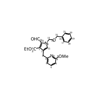 CCOC(=O)c1c(Cc2cccc(OC)n2)cn(COCc2ccccc2)c1C=O